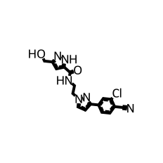 N#Cc1ccc(-c2ccn(CCNC(=O)c3cc(CO)n[nH]3)n2)cc1Cl